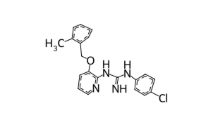 Cc1ccccc1COc1cccnc1NC(=N)Nc1ccc(Cl)cc1